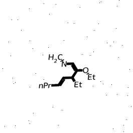 C=N/C=C(/OCC)C(C=CCCC)CC